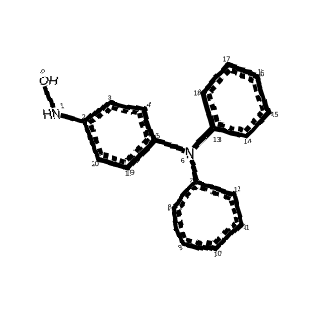 ONc1ccc(N(c2ccccc2)c2ccccc2)cc1